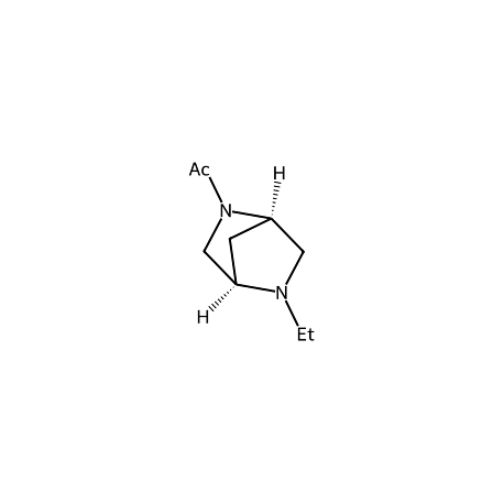 CCN1C[C@H]2C[C@@H]1CN2C(C)=O